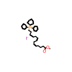 COC(=O)CCC/C=C\C/C=C\C/C=C\CC[P+](c1ccccc1)(c1ccccc1)c1ccccc1.[I-]